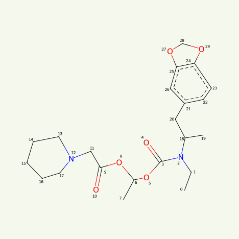 CCN(C(=O)OC(C)OC(=O)CN1CCCCC1)C(C)Cc1ccc2c(c1)OCO2